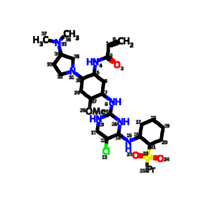 C=CC(=O)NC1CC(NC2NCC(Cl)C(NC3CCCCC3S(=O)(=O)C(C)C)N2)C(OC)CC1N1CCC(N(C)C)C1